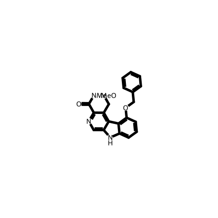 CNC(=O)c1ncc2[nH]c3cccc(OCc4ccccc4)c3c2c1COC